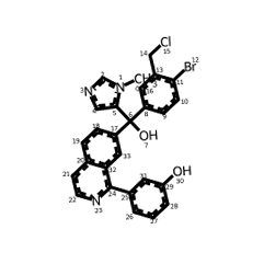 Cn1cncc1C(O)(c1ccc(Br)c(CCl)c1)c1ccc2ccnc(-c3cccc(O)c3)c2c1